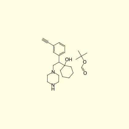 C#Cc1cccc(C(CN2CCNCC2)C2(O)CCCCC2)c1.CC(C)(C)OC=O